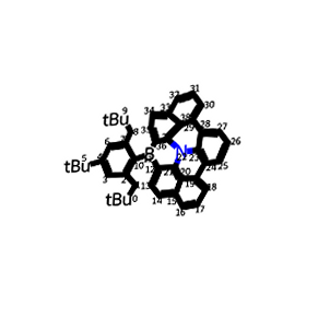 CC(C)(C)Cc1cc(C(C)(C)C)cc(CC(C)(C)C)c1B1c2ccc3cccc4c3c2N2c3c-4cccc3-c3cccc4ccc1c2c34